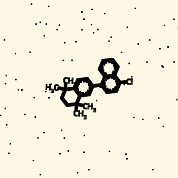 CC1(C)CCC(C)(C)c2cc(-c3ccc(Cl)c4ccccc34)ccc21